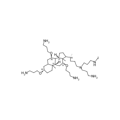 C[C@H](CCCN(CCCN)CCCNI)C1CC[C@H]2C3[C@H](OCCCN)CC4C[C@H](OCCCN)CCC4(C)[C@H]3C[C@H](OCCCN)C12C